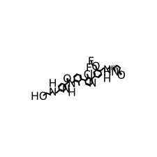 Cc1c(NC(=O)c2ccc(CNCCO)cn2)cccc1-c1ccnc(-c2ccc(CNC[C@@H]3CCC(=O)N3)c(OC(F)F)c2)c1Cl